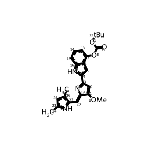 COC1=CC(c2cc3c(OC(=O)OC(C)(C)C)cccc3[nH]2)=NC1=Cc1[nH]c(C)cc1C